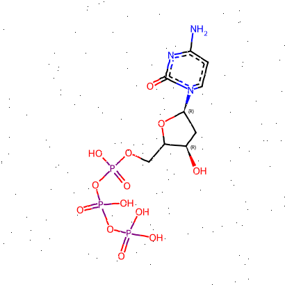 Nc1ccn([C@H]2C[C@@H](O)C(COP(=O)(O)OP(=O)(O)OP(=O)(O)O)O2)c(=O)n1